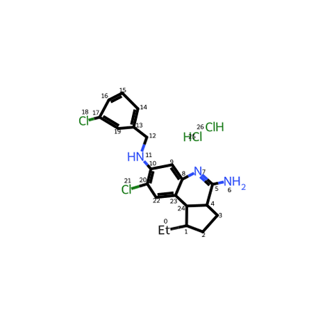 CCC1CCC2C(N)=Nc3cc(NCc4cccc(Cl)c4)c(Cl)cc3C12.Cl.Cl